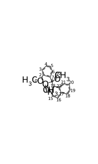 COc1ccccc1C(OC)(OC)c1nccc2ccccc12